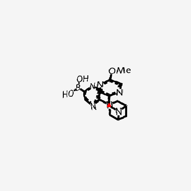 COc1cnc(CN2C3CC2CN(c2cnc(B(O)O)cn2)C3)cn1